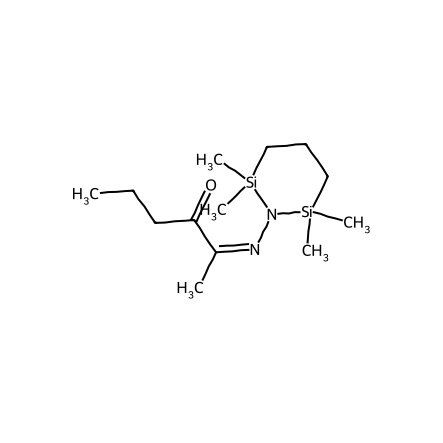 CCCC(=O)C(C)=NN1[Si](C)(C)CCC[Si]1(C)C